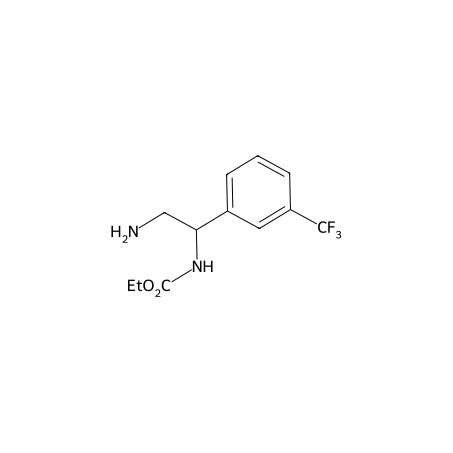 CCOC(=O)NC(CN)c1cccc(C(F)(F)F)c1